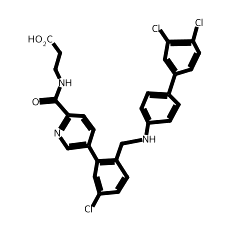 O=C(O)CCNC(=O)c1ccc(-c2cc(Cl)ccc2CNc2ccc(-c3ccc(Cl)c(Cl)c3)cc2)cn1